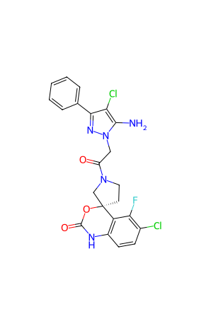 Nc1c(Cl)c(-c2ccccc2)nn1CC(=O)N1CC[C@@]2(C1)OC(=O)Nc1ccc(Cl)c(F)c12